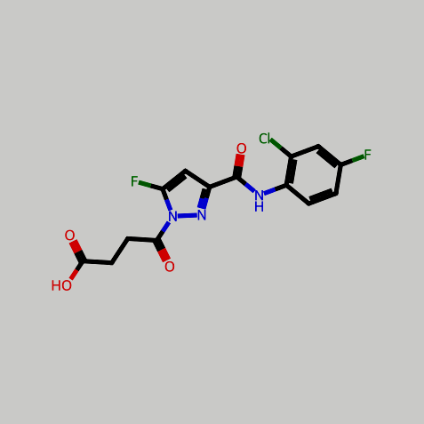 O=C(O)CCC(=O)n1nc(C(=O)Nc2ccc(F)cc2Cl)cc1F